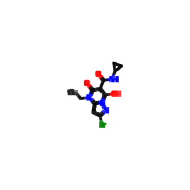 CC(C)(C)Cn1c(=O)c(C(=O)NC2CC2)c(O)n2nc(Br)cc12